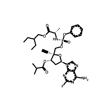 C#C[C@]1(CO[P@@](=O)(N[C@@H](C)C(=O)OCC(CC)CC)Oc2ccccc2)O[C@@H](n2cnc3c(N)nc(F)nc32)C[C@@H]1OC(=O)C(C)C